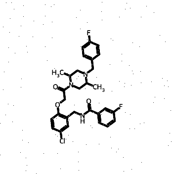 CC1CN(C(=O)COc2ccc(Cl)cc2CNC(=O)c2cccc(F)c2)C(C)CN1Cc1ccc(F)cc1